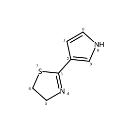 c1cc(C2=NCCS2)c[nH]1